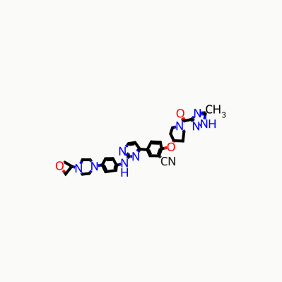 Cc1nc(C(=O)N2CCC(Oc3ccc(-c4ccnc(Nc5ccc(N6CCN(C7COC7)CC6)cc5)n4)cc3C#N)CC2)n[nH]1